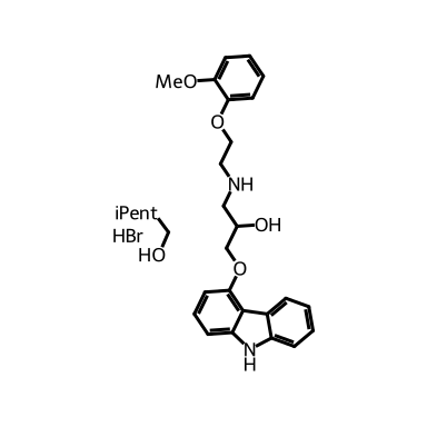 Br.CCCC(C)CO.COc1ccccc1OCCNCC(O)COc1cccc2[nH]c3ccccc3c12